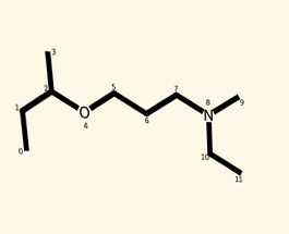 CCC(C)OCCCN(C)CC